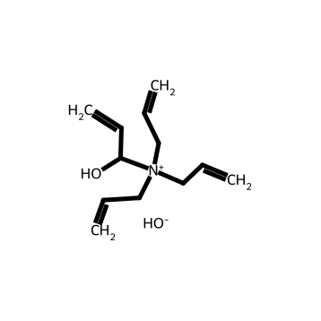 C=CC[N+](CC=C)(CC=C)C(O)C=C.[OH-]